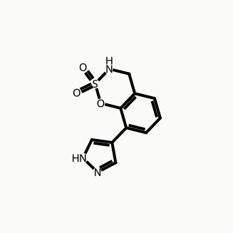 O=S1(=O)NCc2cccc(-c3cn[nH]c3)c2O1